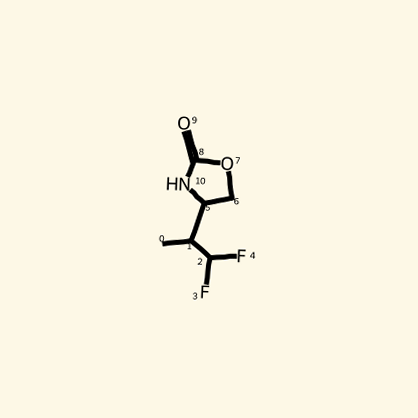 CC(C(F)F)C1COC(=O)N1